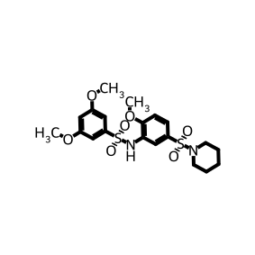 COc1cc(OC)cc(S(=O)(=O)Nc2cc(S(=O)(=O)N3CCCCC3)ccc2OC)c1